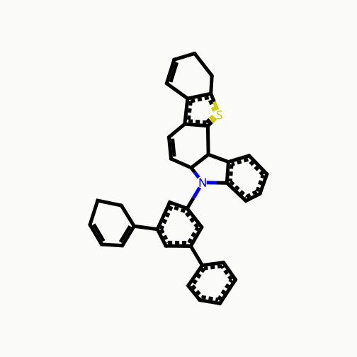 C1=CCCC(c2cc(-c3ccccc3)cc(N3c4ccccc4C4c5sc6c(c5C=CC43)C=CCC6)c2)=C1